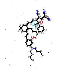 CCCCC1=C(C=Cc2ccc(N(CCCC)CCCC)cc2OC)CC(C)(C)CC1=CC=CC1=C(C#N)C(=C(C#N)C#N)OC1(c1ccccc1)C(F)(F)F